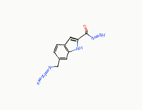 [N-]=[N+]=NCc1ccc2cc(C(=O)N=N)[nH]c2c1